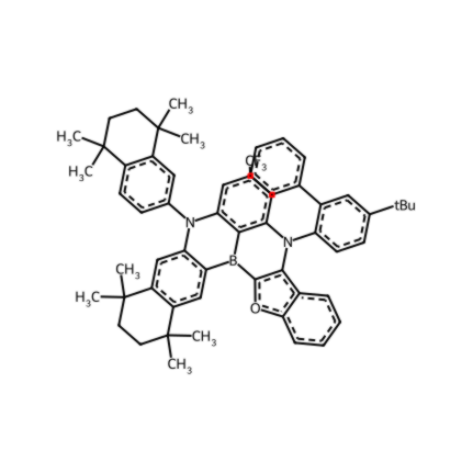 CC(C)(C)c1ccc(N2c3cc(C(F)(F)F)cc4c3B(c3cc5c(cc3N4c3ccc4c(c3)C(C)(C)CCC4(C)C)C(C)(C)CCC5(C)C)c3oc4ccccc4c32)c(-c2ccccc2)c1